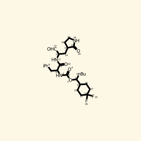 CCCCC(OC(=O)NC(CC(C)C)C(=O)NC(C=O)CC1CCNC1=O)C1CCC(F)(F)CC1